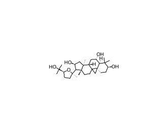 CC(C)(O)[C@@H]1CC[C@](C)(C2[C@@H](O)C[C@@]3(C)[C@@H]4C[C@H](O)[C@H]5C(C)(C)[C@@H](O)CC[C@@]56CC46CC[C@]23C)O1